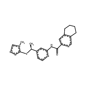 C[C@H](Sc1nncn1C)c1ccnc(NC(=O)c2cc3c(cn2)CCCC3)c1